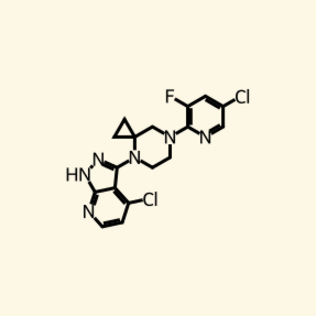 Fc1cc(Cl)cnc1N1CCN(c2n[nH]c3nccc(Cl)c23)C2(CC2)C1